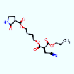 CCCOC(=O)C(CC#N)C(=O)OCCCCOC(=O)C1CCNC1=O